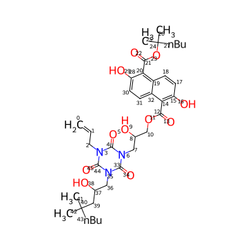 C=CCn1c(=O)n(CC(O)COC(=O)c2c(O)ccc3c(C(=O)OC(C)(C)CCCC)c(O)ccc23)c(=O)n(CC(O)CC(C)(C)CCCC)c1=O